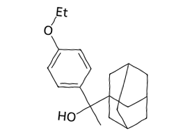 CCOc1ccc(C(C)(O)C23CC4CC(CC(C4)C2)C3)cc1